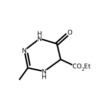 CCOC(=O)C1NC(C)=NNC1=O